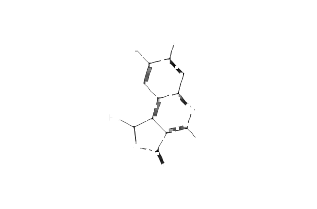 O=C1OC(O)c2c1c(O)nc1cc(Cl)c(Cl)cc21